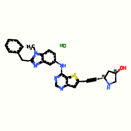 Cl.Cn1c(Cc2ccccc2)nc2cc(Nc3ncnc4cc(C#C[C@@H]5C[C@@H](O)CN5)sc34)ccc21